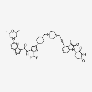 C[C@H]1CN(c2ccn3ncc(C(=O)Nc4cn([C@H]5CC[C@H](CN6CCN(CC#Cc7cccc8c7n(C)c(=O)n8C7CCC(=O)NC7=O)CC6)CC5)nc4C(F)F)c3n2)C[C@H](C)O1